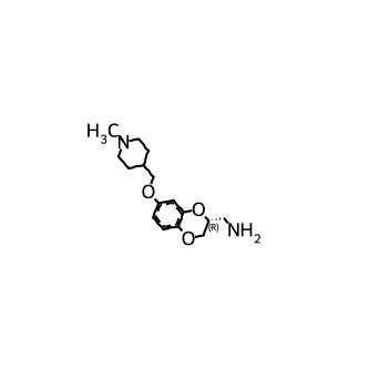 CN1CCC(COc2ccc3c(c2)O[C@H](CN)CO3)CC1